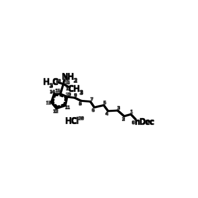 CCCCCCCCCCCCCCCCCCCc1ccccc1C(C)(C)N.Cl